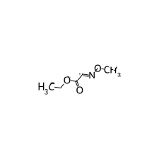 CCOC(=O)/[C]=N/OC